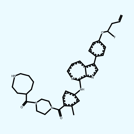 C=CCC(F)Oc1ccc(-c2cnc3c(Nc4ccc(C(=O)N5CCN(C(=O)C6CCCCNCC6)CC5)c(C)c4)ncccc2-3)cc1